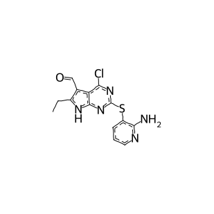 CCc1[nH]c2nc(Sc3cccnc3N)nc(Cl)c2c1C=O